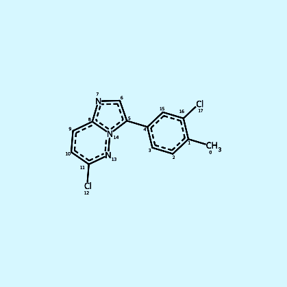 Cc1ccc(-c2cnc3ccc(Cl)nn23)cc1Cl